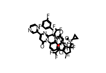 C[C@@H]1CC(F)(F)c2c1c(C(F)F)nn2CC(=O)N[C@@H](Cc1cc(F)cc(F)c1)c1nc(-c2cnccn2)cc(=O)n1-c1ccc(Cl)c2c(NS(=O)(=O)C3CC3)nn(CC(F)F)c12